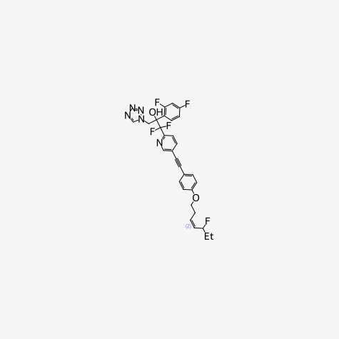 CCC(F)/C=C\CCOc1ccc(C#Cc2ccc(C(F)(F)C(O)(Cn3cnnn3)c3ccc(F)cc3F)nc2)cc1